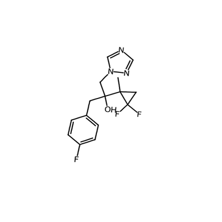 CC1(C(O)(Cc2ccc(F)cc2)Cn2cncn2)CC1(F)F